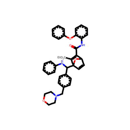 CCOC(=O)C1=C(C(=O)Nc2ccccc2Oc2ccccc2)C2C=CC1(C(Nc1ccccc1)c1ccc(CN3CCOCC3)cc1)O2